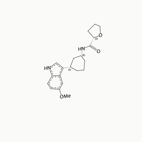 COc1ccc2[nH]cc([C@H]3CCC[C@@H](NC(=O)[C@@H]4CCCO4)C3)c2c1